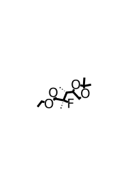 CCOC(=O)[C@](C)(F)[C@H](C)C1COC(C)(C)O1